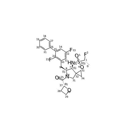 C[C@@H](F)S(=O)(=O)N[C@@H]1[C@H](Cc2cc(F)cc(-c3ccccc3)c2F)N(C(=O)[C@H]2CCO2)CC12CC2